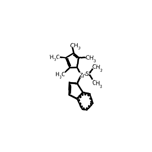 CC1=C(C)[CH]([Zr]([CH]2C=Cc3ccccc32)=[Si](C)C)C(C)=C1C